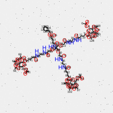 CC(=O)OC[C@H]1O[C@@H](OCCCCC(=O)NCCCNC(=O)CCOCC(COCCC(=O)NCCCNC(=O)CCCCO[C@@H]2O[C@H](COC(C)=O)[C@@H](OC(C)=O)[C@H](OC(C)=O)[C@H]2OC(C)=O)(COCCC(=O)NCCCNC(=O)CCCCO[C@@H]2O[C@H](COC(C)=O)[C@@H](OC(C)=O)[C@H](OC(C)=O)[C@H]2OC(C)=O)NC(=O)CCCC(=O)OCc2ccccc2)[C@H](OC(C)=O)[C@@H](OC(C)=O)[C@@H]1OC(C)=O